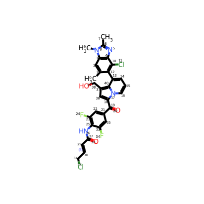 Cc1cc2c(nc(C)n2C)c(Cl)c1-c1cccn2c(C(=O)c3cc(F)c(NC(=O)/C=C/CCl)c(F)c3)cc(CO)c12